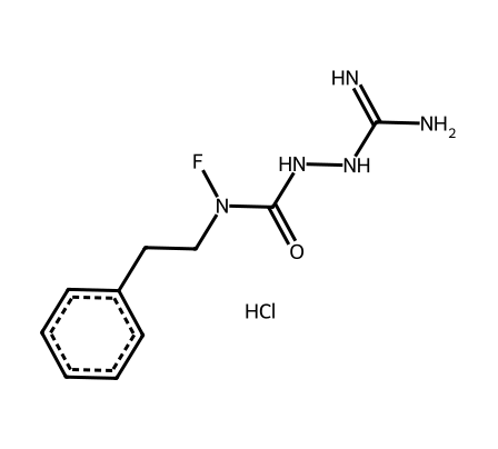 Cl.N=C(N)NNC(=O)N(F)CCc1ccccc1